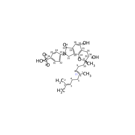 CC(C)=CCC/C(C)=C/CC[C@]1(C)Oc2c(c(O)cc3c2CN(c2ccc(S(=O)(=O)O)cc2)C3=O)C[C@@H]1O